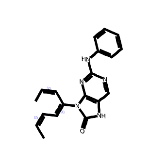 C\C=C/C=C(\C=C/C)n1c(=O)[nH]c2cnc(Nc3ccccc3)nc21